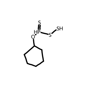 S=[PH](OC1CCCCC1)SS